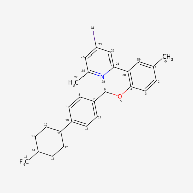 Cc1ccc(OCc2ccc(C3CCC(C(F)(F)F)CC3)cc2)c(-c2cc(I)cc(C)n2)c1